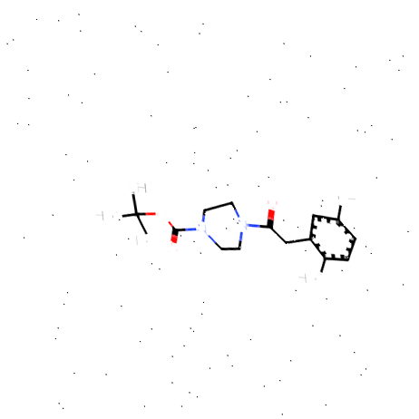 Cc1ccc(C)c(CC(=O)N2CCN(C(=O)OC(C)(C)C)CC2)c1